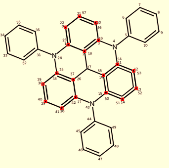 c1ccc(N(c2ccccc2)c2ccccc2C(c2ccccc2N(c2ccccc2)c2ccccc2)c2ccccc2N(c2ccccc2)c2ccccc2)cc1